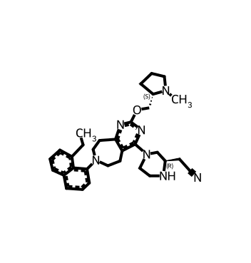 CCc1cccc2cccc(N3CCc4nc(OC[C@@H]5CCCN5C)nc(N5CCN[C@H](CC#N)C5)c4CC3)c12